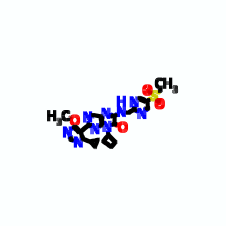 CCS(=O)(=O)c1cnc(CNc2nc3cnc(-c4c(OC)ncnc4C4CC4)nc3n(C3CCC3)c2=O)nc1